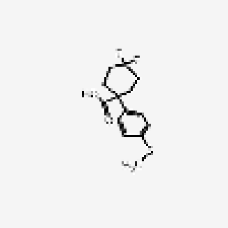 CSc1ccc(C2(C(=O)O)CCC(F)(F)CC2)cc1